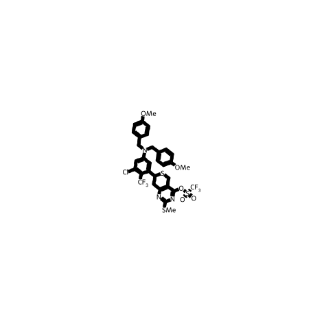 COc1ccc(CN(Cc2ccc(OC)cc2)c2cc(Cl)c(C(F)(F)F)c(C3Cc4nc(SC)nc(OS(=O)(=O)C(F)(F)F)c4CS3)c2)cc1